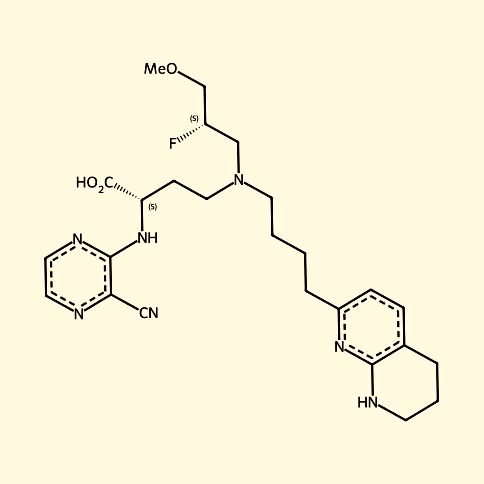 COC[C@@H](F)CN(CCCCc1ccc2c(n1)NCCC2)CC[C@H](Nc1nccnc1C#N)C(=O)O